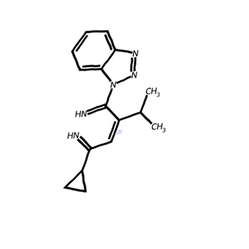 CC(C)/C(=C/C(=N)C1CC1)C(=N)n1nnc2ccccc21